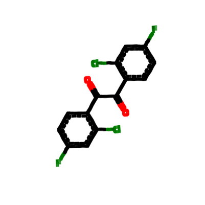 O=C(C(=O)c1ccc(F)cc1Cl)c1ccc(F)cc1Cl